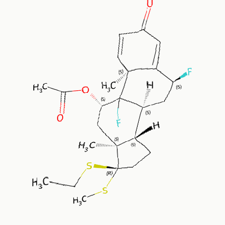 CCS[C@]1(SC)CC[C@H]2[C@@H]3C[C@H](F)C4=CC(=O)C=C[C@]4(C)C3(F)[C@@H](OC(C)=O)C[C@@]21C